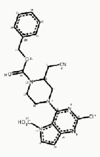 N#CCC1CN(c2nc(Cl)nc3ccn(C(=O)O)c23)CCN1C(=O)OCc1ccccc1